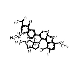 CNc1cc(F)c(Cl)c2c1[nH]c1ncc(-c3cnc4c(c3)c(=O)c(C(=O)O)cn4NC)c(N3CC[C@H]4CN(C)C[C@H]43)c12